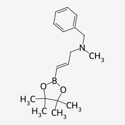 CN(CC=CB1OC(C)(C)C(C)(C)O1)Cc1ccccc1